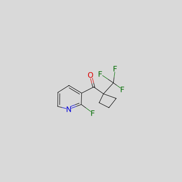 O=C(c1cccnc1F)C1(C(F)(F)F)CCC1